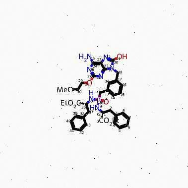 CCOC(=O)[C@H](Cc1ccccc1)NP(=O)(Cc1cccc(Cn2c(O)nc3c(N)nc(OCCOC)nc32)c1)N[C@@H](Cc1ccccc1)C(=O)OCC